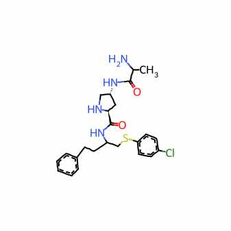 CC(N)C(=O)N[C@H]1CN[C@H](C(=O)NC(CCc2ccccc2)CSc2ccc(Cl)cc2)C1